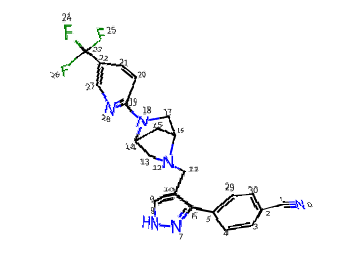 N#Cc1ccc(-c2n[nH]cc2CN2CC3CC2CN3c2ccc(C(F)(F)F)cn2)cc1